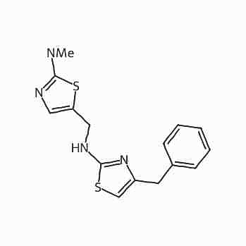 CNc1ncc(CNc2nc(Cc3ccccc3)cs2)s1